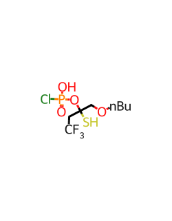 CCCCOCC(S)(CC(F)(F)F)OP(=O)(O)Cl